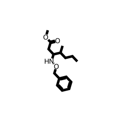 CCCC(C)C(CC(=O)OC)NOCc1ccccc1